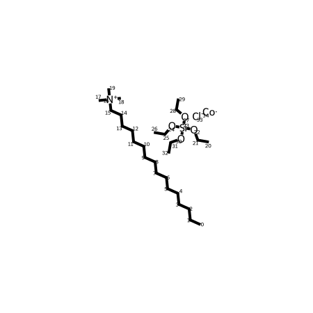 CCCCCCCCCCCCCCCC[N+](C)(C)C.CCO[Si](OCC)(OCC)OCC.[Cl-].[Co]